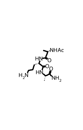 CC(=O)N[C@@H](C)C(=O)N[C@@H](CCCN)C(=O)N[C@@H](C)C(N)=O